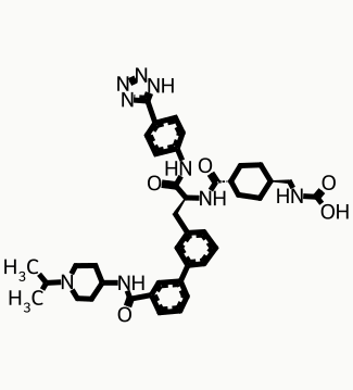 CC(C)N1CCC(NC(=O)c2cccc(-c3cccc(C[C@H](NC(=O)[C@H]4CC[C@H](CNC(=O)O)CC4)C(=O)Nc4ccc(-c5nnn[nH]5)cc4)c3)c2)CC1